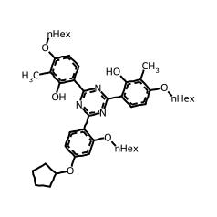 CCCCCCOc1cc(OC2CCCC2)ccc1-c1nc(-c2ccc(OCCCCCC)c(C)c2O)nc(-c2ccc(OCCCCCC)c(C)c2O)n1